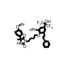 CCCc1cc(C(O)(C(F)(F)F)C(F)(F)F)cc(C=Cc2ccccc2)c1OCCCCN1C(=O)NC(C)(c2ccc(OC(C)C)cc2)C1=O